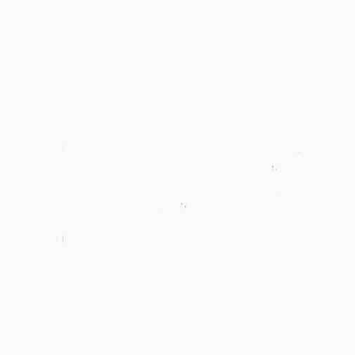 O=[N+]([O-])c1cc(C2=NOC(c3cc(Cl)cc(Cl)c3)C2C(F)(F)F)ccc1Cl